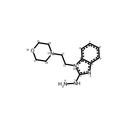 NNc1nc2ccccc2n1CCN1CCOCC1